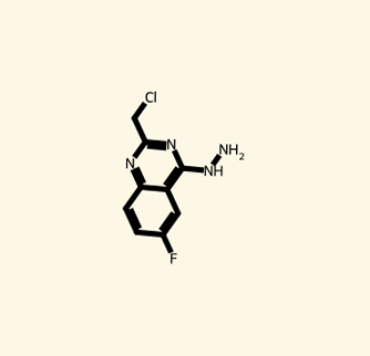 NNc1nc(CCl)nc2ccc(F)cc12